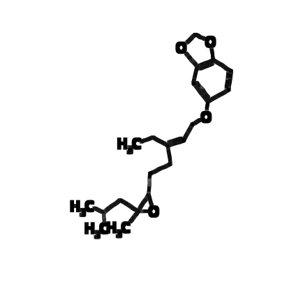 CC/C(=C\COc1ccc2c(c1)OCO2)CCC1OC1(C)CC(C)C